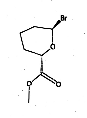 COC(=O)[C@@H]1CCC[C@@H](Br)O1